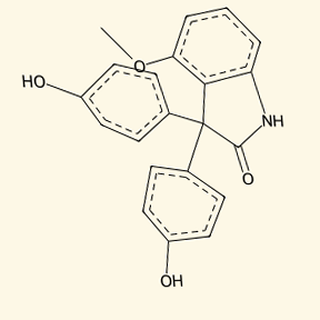 COc1cccc2c1C(c1ccc(O)cc1)(c1ccc(O)cc1)C(=O)N2